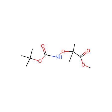 COC(=O)C(C)(C)ONC(=O)OC(C)(C)C